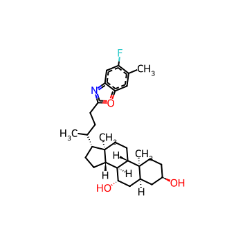 Cc1cc2oc(CCC(C)[C@H]3CC[C@H]4[C@@H]5[C@@H](O)C[C@@H]6C[C@H](O)CC[C@]6(C)[C@H]5CC[C@]34C)nc2cc1F